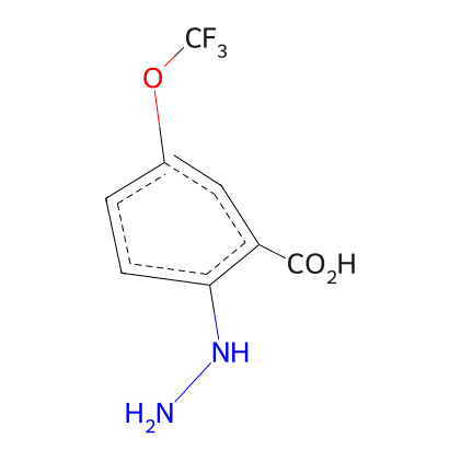 NNc1ccc(OC(F)(F)F)cc1C(=O)O